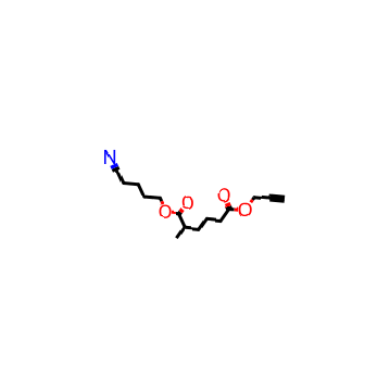 C#CCOC(=O)CCCC(C)C(=O)OCCCCC#N